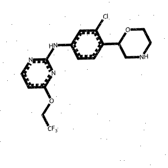 FC(F)(F)COc1ccnc(Nc2ccc(C3CNCCO3)c(Cl)c2)n1